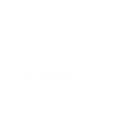 O=C(Nc1ccc(-c2nc3cc(NC(=O)C4CCCCCC4)ccc3[nH]2)cc1)C1CCCCCC1